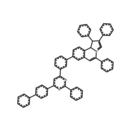 C1=C(c2ccccc2)C(c2ccccc2)C2c3ccc(-c4cccc(-c5cc(-c6ccc(-c7ccccc7)cc6)nc(-c6ccccc6)n5)c4)cc3C=C(c3ccccc3)[N+]=12